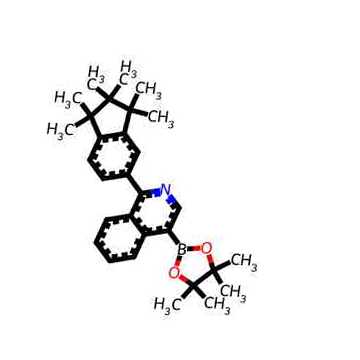 CC1(C)OB(c2cnc(-c3ccc4c(c3)C(C)(C)C(C)(C)C4(C)C)c3ccccc23)OC1(C)C